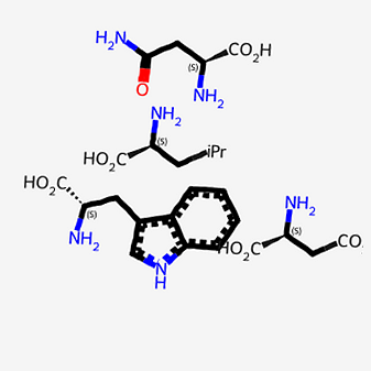 CC(C)C[C@H](N)C(=O)O.NC(=O)C[C@H](N)C(=O)O.N[C@@H](CC(=O)O)C(=O)O.N[C@@H](Cc1c[nH]c2ccccc12)C(=O)O